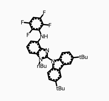 CCCCn1c(-n2c3ccc(C(C)(C)C)cc3c3cc(C(C)(C)C)ccc32)nc2c(Nc3c(F)c(F)cc(F)c3F)cccc21